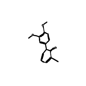 COc1ccc(C2C=CC=C(C)C2=O)cc1OC